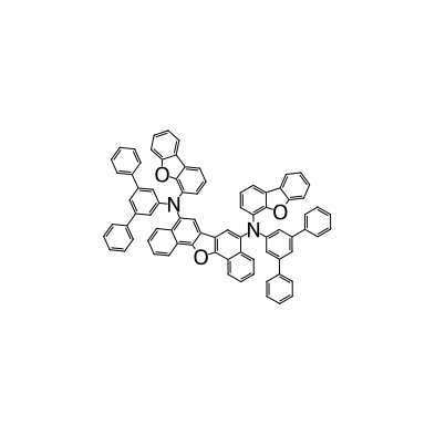 c1ccc(-c2cc(-c3ccccc3)cc(N(c3cc4c5cc(N(c6cc(-c7ccccc7)cc(-c7ccccc7)c6)c6cccc7c6oc6ccccc67)c6ccccc6c5oc4c4ccccc34)c3cccc4c3oc3ccccc34)c2)cc1